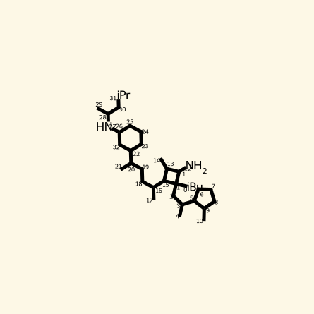 CCC(C)C1(CC(C)C2CCCC2C)C(N)C(C)C1C(C)CCC(C)C1CCCC(NC(C)CC(C)C)C1